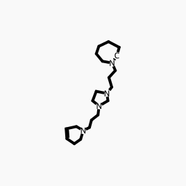 C1=CCN(CCCN2CCN(CCCN3CCCCCC3)C2)CC1